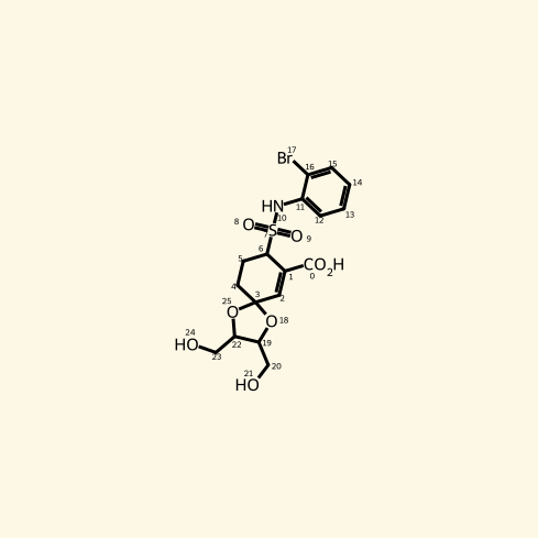 O=C(O)C1=CC2(CCC1S(=O)(=O)Nc1ccccc1Br)OC(CO)C(CO)O2